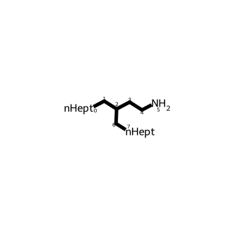 CCCCCCCCC(CCN)CCCCCCCC